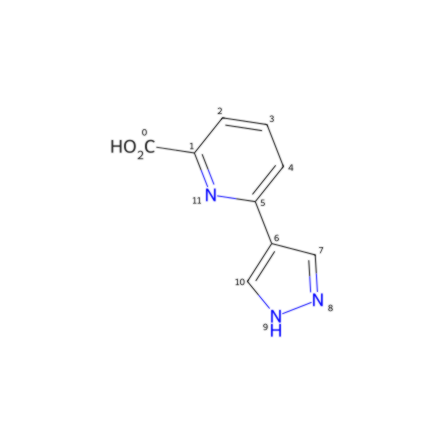 O=C(O)c1cccc(-c2cn[nH]c2)n1